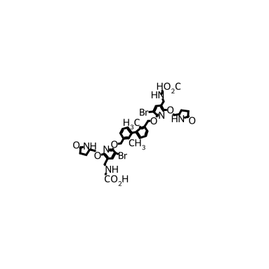 Cc1c(COc2nc(OCC3CCC(=O)N3)c(CNCC(=O)O)cc2Br)cccc1-c1cccc(COc2nc(OCC3CCC(=O)N3)c(CNCC(=O)O)cc2Br)c1C